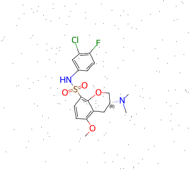 COc1ccc(S(=O)(=O)Nc2ccc(F)c(Cl)c2)c2c1C[C@@H](N(C)C)CO2